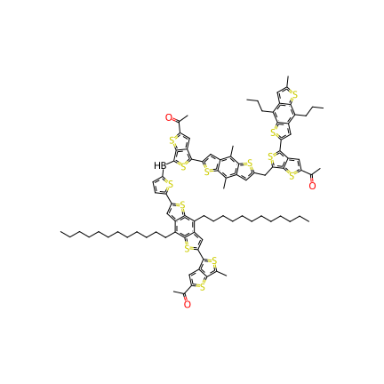 CCCCCCCCCCCCc1c2cc(-c3sc(C)c4sc(C(C)=O)cc34)sc2c(CCCCCCCCCCCC)c2cc(-c3ccc(Bc4sc(-c5cc6c(C)c7sc(Cc8sc(-c9cc%10c(CCC)c%11sc(C)cc%11c(CCC)c%10s9)c9cc(C(C)=O)sc89)cc7c(C)c6s5)c5cc(C(C)=O)sc45)s3)sc12